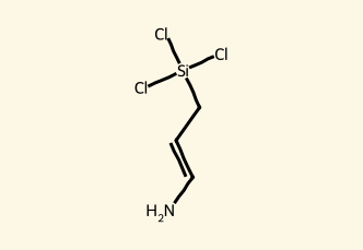 NC=CC[Si](Cl)(Cl)Cl